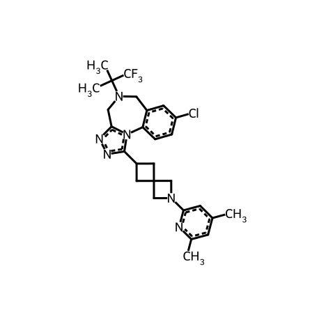 Cc1cc(C)nc(N2CC3(CC(c4nnc5n4-c4ccc(Cl)cc4CN(C(C)(C)C(F)(F)F)C5)C3)C2)c1